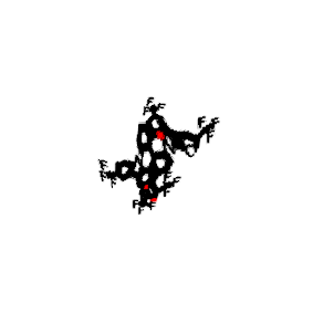 N#Cc1cccc(-n2c3ccc(C(F)(F)F)cc3c3cc(C(F)(F)F)ccc32)c1-c1cc(-c2ccc(C(F)(F)F)cc2C(F)(F)F)ccc1-n1c2ccc(C(F)(F)F)cc2c2cc(C(F)(F)F)ccc21